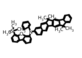 CC1(C)c2ccccc2-c2cc3c(cc21)-c1cc2ccc(N(c4ccccc4)c4cccc5c4oc4c([Si](C)(C)C)cccc45)cc2cc1C3(C)C